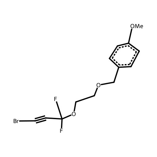 COc1ccc(COCCOC(F)(F)C#CBr)cc1